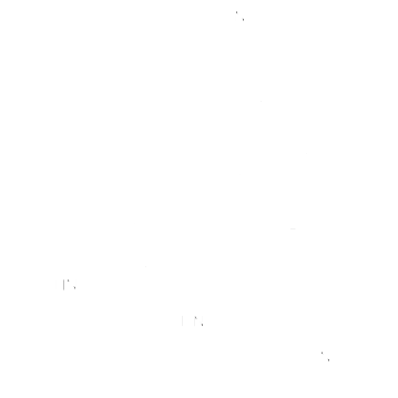 N#Cc1ccc(F)c(C2=CC3C=CNCC3C(NC3CCNCC3)=C2)c1